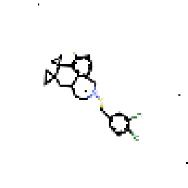 Fc1ccc2c3c1C1(CC1)C1(CC1)CC3CCN(SCc1ccc(Cl)c(Cl)c1)C2